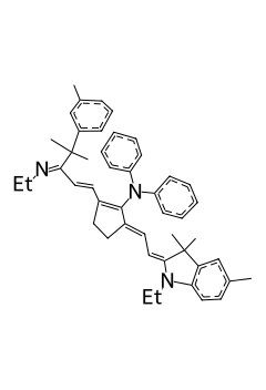 CC/N=C(\C=C\C1=C(N(c2ccccc2)c2ccccc2)C(=C/C=C2/N(CC)c3ccc(C)cc3C2(C)C)/CC1)C(C)(C)c1cccc(C)c1